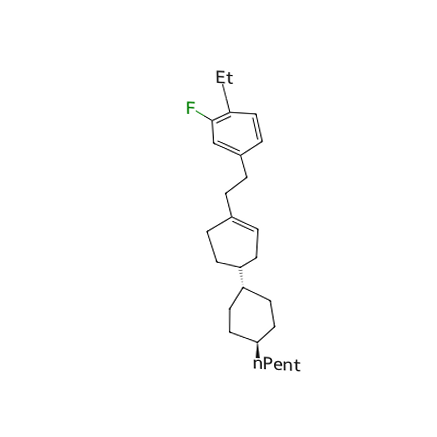 CCCCC[C@H]1CC[C@H](C2CC=C(CCc3ccc(CC)c(F)c3)CC2)CC1